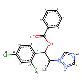 CCC(C(OC(=O)c1ccccc1)c1ccc(Cl)cc1Cl)n1cncn1